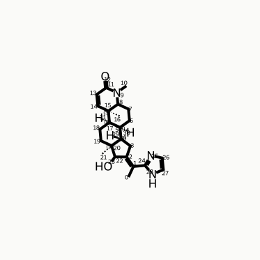 CC(=C1C[C@H]2[C@@H]3CCC4N(C)C(=O)C=C[C@]4(C)[C@@H]3CC[C@]2(C)C1O)c1ncc[nH]1